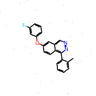 Cc1ccccc1-c1nncc2cc(Oc3cccc(F)c3)ccc12